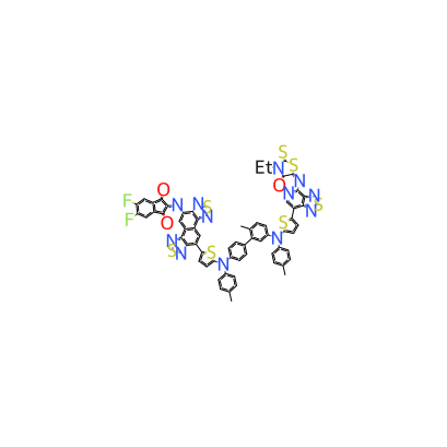 CCN1C(=O)/C(=N\c2ncc(-c3ccc(N(c4ccc(C)cc4)c4ccc(C)c(-c5ccc(N(c6ccc(C)cc6)c6ccc(-c7cc8c(cc(N=c9c(=O)c%10cc(F)c(F)cc%10c9=O)c9nsnc98)c8nsnc78)s6)cc5)c4)s3)c3nsnc23)SC1=S